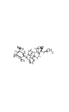 C=CC(=O)N1CCN(c2ncnc3cc(-c4cc(N)cc(F)c4Cl)c4ccoc4c23)CC1CC#N